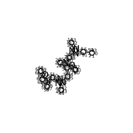 c1ccc(-c2ccc(-c3nc(-c4ccccc4)nc(-c4ccc(-n5c6ccccc6c6cc(-c7cccc(-c8nc(-c9ccccc9)nc(-c9cccc(-n%10c%11ccccc%11c%11ccc%12c%13ccccc%13oc%12c%11%10)c9)n8)c7)c7c8ccccc8oc7c65)cc4)n3)cc2)cc1